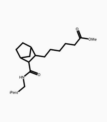 CCCC(C)CNC(=O)C1C2CCC(C2)C1CCCCCC(=O)OC